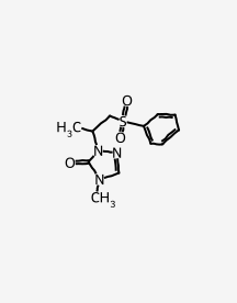 CC(CS(=O)(=O)c1ccccc1)n1ncn(C)c1=O